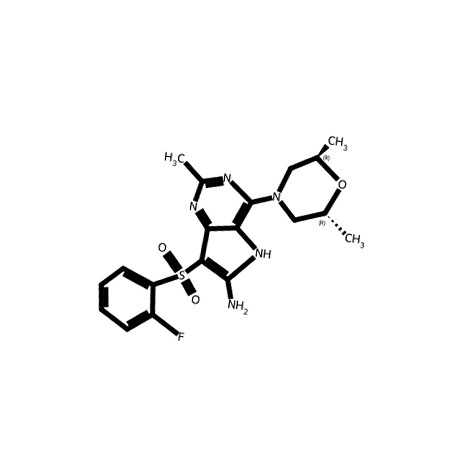 Cc1nc(N2C[C@@H](C)O[C@H](C)C2)c2[nH]c(N)c(S(=O)(=O)c3ccccc3F)c2n1